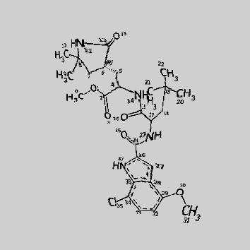 COC(=O)C(C[C@@H]1CC(C)(C)NC1=O)NC(=O)C(CC(C)(C)C)NC(=O)c1cc2c(OC)ccc(Cl)c2[nH]1